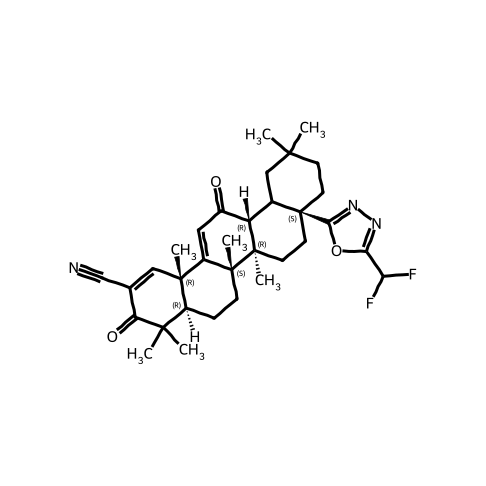 CC1(C)CC[C@]2(c3nnc(C(F)F)o3)CC[C@]3(C)[C@H](C(=O)C=C4[C@@]5(C)C=C(C#N)C(=O)C(C)(C)[C@@H]5CC[C@]43C)C2C1